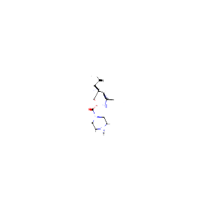 C=C(C)/C=C(\C=C(\C)N)COC(=O)N1CCN(CC)CC1